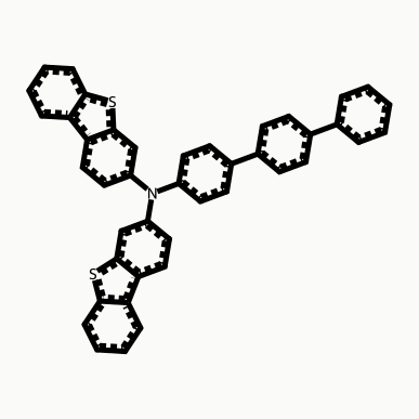 c1ccc(-c2ccc(-c3ccc(N(c4ccc5c(c4)sc4ccccc45)c4ccc5c(c4)sc4ccccc45)cc3)cc2)cc1